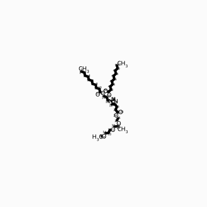 CCCCCCCCCCCC(=O)OCC(Cn1cc(CCC(=O)OCCOC(C)COCCCOC)nn1)OC(=O)CCCCCCCCCCC